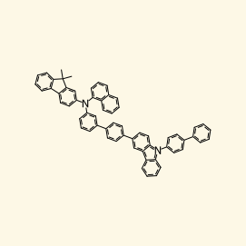 CC1(C)c2ccccc2-c2ccc(N(c3cccc(-c4ccc(-c5ccc6c(c5)c5ccccc5n6-c5ccc(-c6ccccc6)cc5)cc4)c3)c3cccc4ccccc34)cc21